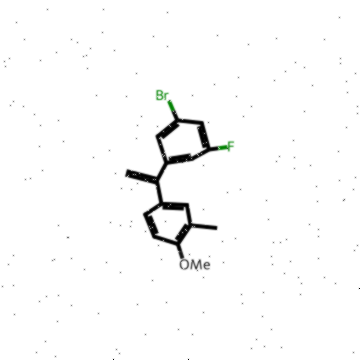 C=C(c1cc(F)cc(Br)c1)c1ccc(OC)c(C)c1